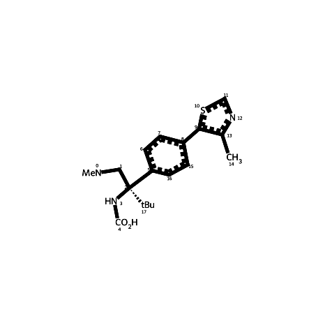 CNC[C@](NC(=O)O)(c1ccc(-c2scnc2C)cc1)C(C)(C)C